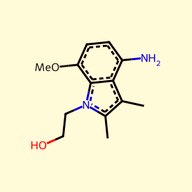 COc1ccc(N)c2c(C)c(C)n(CCO)c12